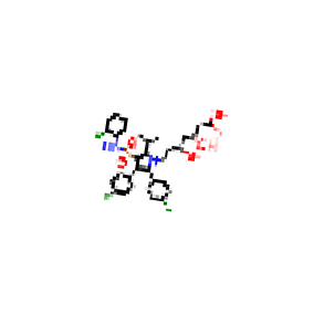 CC(C)c1c(S(=O)(=O)Nc2ccccc2F)c(-c2ccc(F)cc2)c(-c2ccc(F)cc2)n1CC[C@@H](O)C[C@@H](O)CC(=O)O